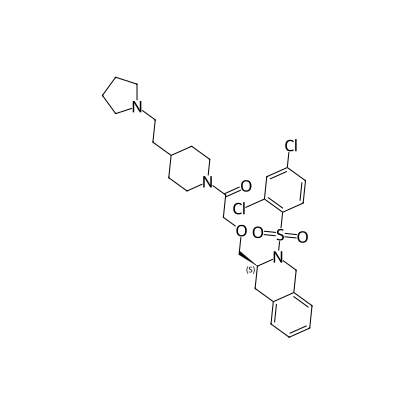 O=C(COC[C@@H]1Cc2ccccc2CN1S(=O)(=O)c1ccc(Cl)cc1Cl)N1CCC(CCN2CCCC2)CC1